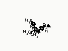 Cc1ccc(-c2cn3c(-c4ccc(C(=O)NC5CC5)cc4)cnc3c(NCC(C)C)n2)c(F)c1